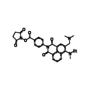 CCN(C)c1c(CN(C)C)cc2c3c(cccc13)C(=O)N(c1ccc(C(=O)ON3C(=O)CCC3=O)cc1)C2=O